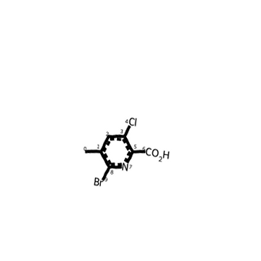 Cc1cc(Cl)c(C(=O)O)nc1Br